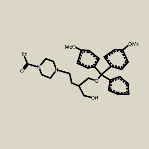 CCC(=O)N1CCN(CCC(CO)COC(c2ccccc2)(c2ccc(OC)cc2)c2ccc(OC)cc2)CC1